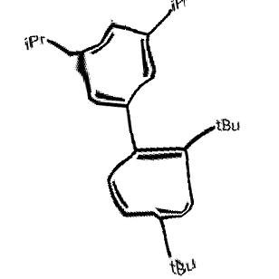 CC(C)c1[c]c(C(C)C)cc(-c2ccc(C(C)(C)C)cc2C(C)(C)C)c1